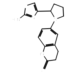 Nc1nc(C2CCCN2c2ccc3c(c2)CCC(=O)N3)cs1